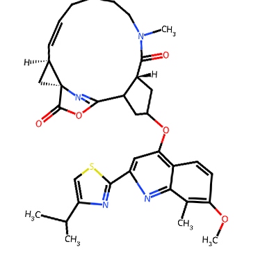 COc1ccc2c(OC3CC4C5=N[C@@]6(C[C@H]6/C=C\CCCCN(C)C(=O)[C@@H]4C3)C(=O)O5)cc(-c3nc(C(C)C)cs3)nc2c1C